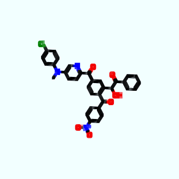 CN(c1ccc(Cl)cc1)c1ccc(C(=O)c2ccc(C(=O)c3ccc([N+](=O)[O-])cc3)c(C(O)C(=O)c3ccccc3)c2)nc1